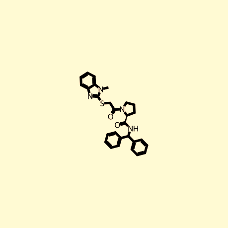 Cn1c(SCC(=O)N2CCC[C@H]2C(=O)NC(c2ccccc2)c2ccccc2)nc2ccccc21